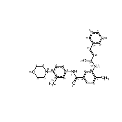 Cc1ccc(C(=O)Nc2ccc(N3CCOCC3)c(C(F)(F)F)c2)cc1NC(=O)C=Cc1cncnc1